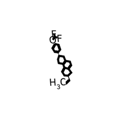 C/C=C\[C@H]1CC=C2C(=CCC3=C2CC[C@H](c2ccc(OC(F)F)cc2)C3)C1